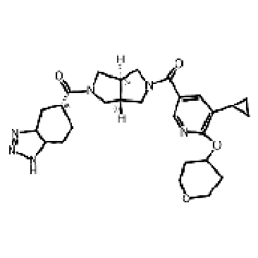 O=C(c1cnc(OC2CCOCC2)c(C2CC2)c1)N1C[C@@H]2CN(C(=O)[C@@H]3CCC4NN=NC4C3)C[C@H]2C1